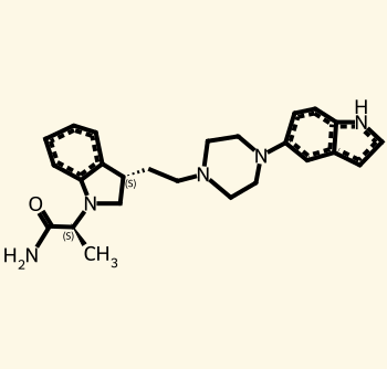 C[C@@H](C(N)=O)N1C[C@@H](CCN2CCN(c3ccc4[nH]ccc4c3)CC2)c2ccccc21